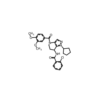 COc1ccc(C(=O)N2CCC(NC(=O)c3ccccc3Cl)c3c2cnn3C2CCCC2)cc1OC